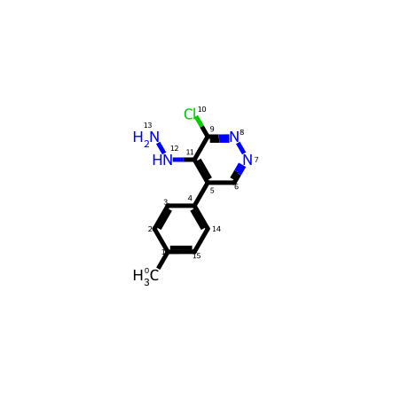 Cc1ccc(-c2cnnc(Cl)c2NN)cc1